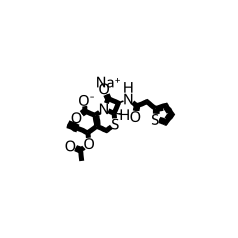 C#CC(OC(C)=O)C1=C(C(=O)[O-])N2C(=O)[C@H](NC(=O)Cc3cccs3)[C@H]2SC1.[Na+]